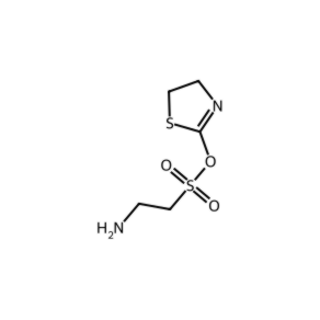 NCCS(=O)(=O)OC1=NCCS1